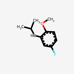 COc1ccc(F)cc1BC(C)C